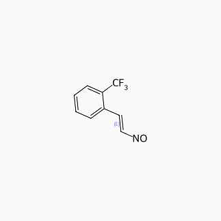 O=N/C=C/c1ccccc1C(F)(F)F